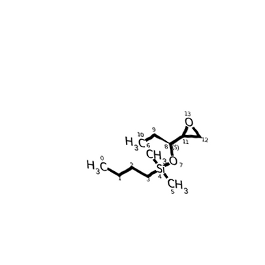 CCCC[Si](C)(C)O[C@@H](CC)C1CO1